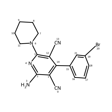 N#Cc1c(N)nc(N2CCCCC2)c(C#N)c1-c1cccc(Br)c1